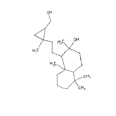 CC1(C)CCCC2(C)C1CCC(C)(O)C2CCC1(C)CC1CO